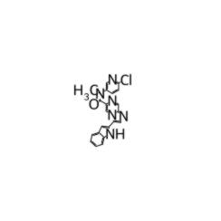 CN(C(=O)c1cn2c(-c3cc4ccccc4[nH]3)cnc2cn1)c1ccc(Cl)nc1